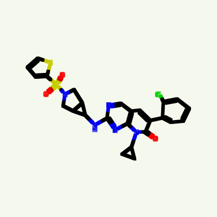 O=c1c(-c2ccccc2Cl)cc2cnc(NC3C4CN(S(=O)(=O)c5cccs5)CC43)nc2n1C1CC1